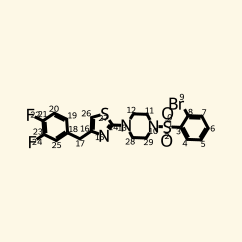 O=S(=O)(c1ccccc1Br)N1CCN(c2nc(Cc3ccc(F)c(F)c3)cs2)CC1